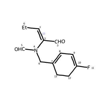 CC/C=C(/C=O)N(C=O)CC1=CC=C(F)CC1